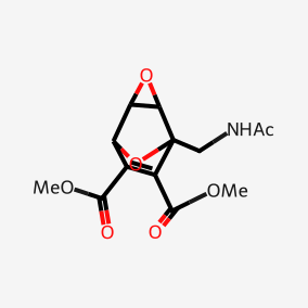 COC(=O)C1=C(C(=O)OC)C2(CNC(C)=O)OC1C1OC12